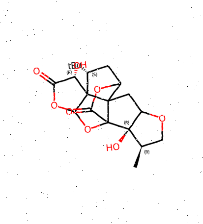 C[C@@H]1COC2CC34C5C[C@@H](C(C)(C)C)C36C(OC(=O)[C@@H]6O)OC4(C(=O)O5)[C@]21O